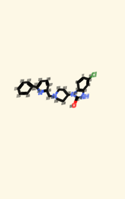 O=c1[nH]c2cc(Cl)ccc2n1C1CCN(Cc2cccc(-c3ccccc3)n2)CC1